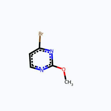 COc1nccc(Br)n1